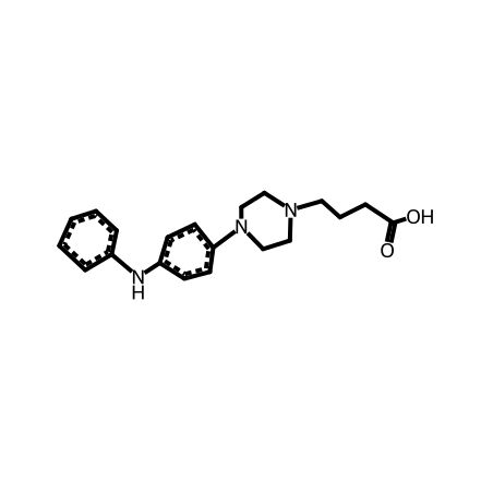 O=C(O)CCCN1CCN(c2ccc(Nc3ccccc3)cc2)CC1